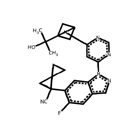 CC(C)(O)C12CC(C1)N(c1cc(-n3ncc4cc(F)c(C5(C#N)CC56CC6)cc43)ncn1)C2